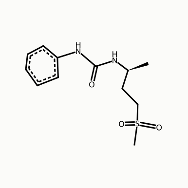 C[C@@H](CCS(C)(=O)=O)NC(=O)Nc1ccccc1